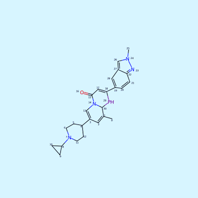 CC1=CC(C2CCN(C3CC3)CC2)=CN2C(=O)C=C(c3ccc4nn(C)cc4c3)PC12